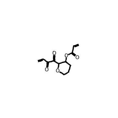 C=CC(=O)OC1CCCOC1C(=O)C(=O)C=C